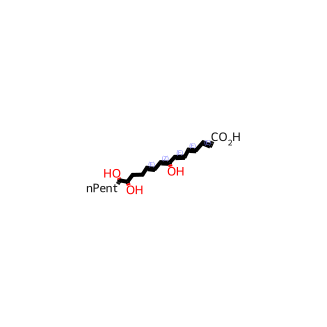 CCCCCC(O)C(O)CC/C=C/C=C(O)/C=C/C=C/C=C/C(=O)O